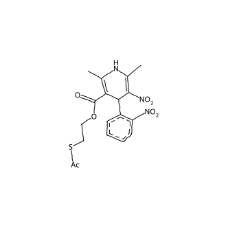 CC(=O)SCCOC(=O)C1=C(C)NC(C)=C([N+](=O)[O-])C1c1ccccc1[N+](=O)[O-]